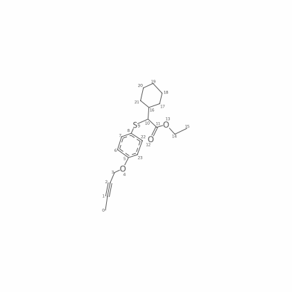 CC#CCOc1ccc(SC(C(=O)OCC)C2CCCCC2)cc1